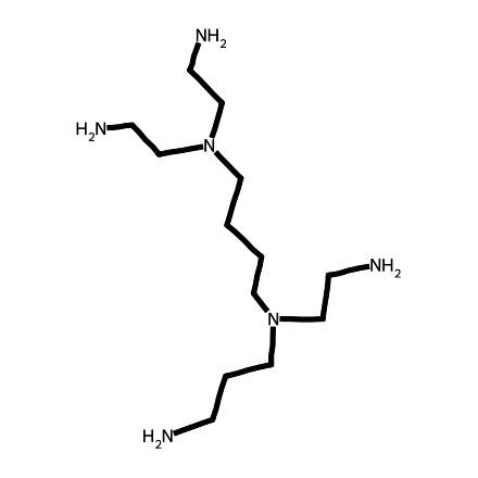 NCCCN(CCN)CCCCN(CCN)CCN